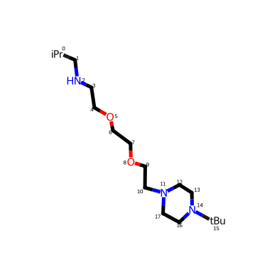 CC(C)CNCCOCCOCCN1CCN(C(C)(C)C)CC1